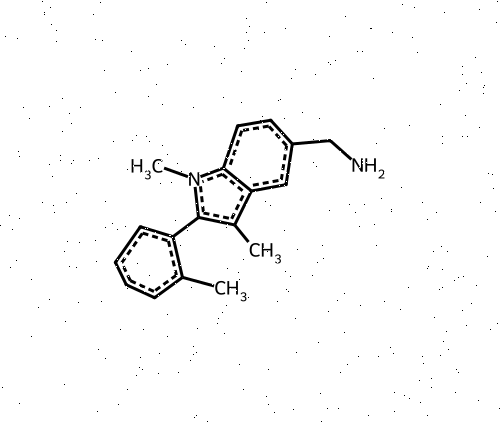 Cc1ccccc1-c1c(C)c2cc(CN)ccc2n1C